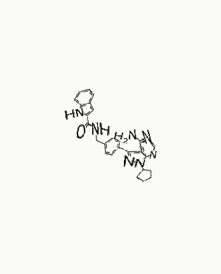 Nc1ncnc2c1c(-c1ccc(CNC(=O)c3cc4ccccc4[nH]3)cc1)nn2C1CCCC1